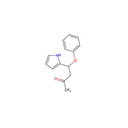 CC(=O)CC(Oc1ccccc1)c1ccc[nH]1